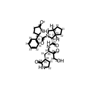 O=C1CC[C@](C(=O)N2C[C@@H]3CCC[C@@H]3[C@@H]2C(=O)N[C@H](C[C@H]2CCNC2=O)C(=O)CO)(c2ccccc2)N1